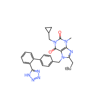 Cn1c(=O)n(CC2CC2)c(=O)c2c1nc(CC(C)(C)C)n2Cc1ccc(-c2ccccc2-c2nnn[nH]2)cc1